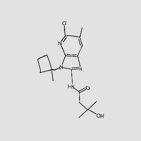 Cc1cc2nc(NC(=O)CC(C)(C)O)n(C3(C)CCC3)c2nc1Cl